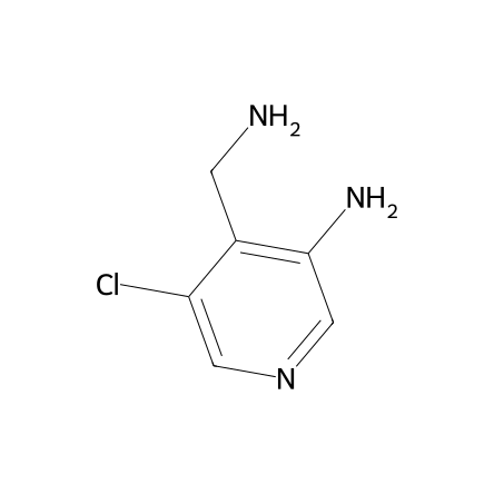 NCc1c(N)cncc1Cl